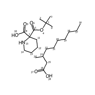 CC(C)(C)OC(=O)C1(C(=O)O)CCCCN1.CCCCCCCC(C)CC(=O)O